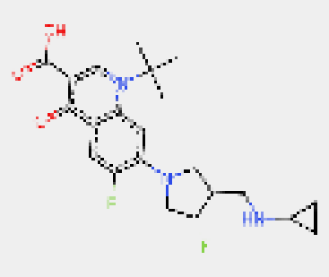 CC(C)(C)n1cc(C(=O)O)c(=O)c2cc(F)c(N3C[C@@H](CNC4CC4)[C@H](F)C3)cc21